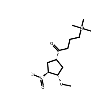 CO[C@H]1C[C@@H](C(=O)CCC[N+](C)(C)C)C[C@@H]1[N+](=O)[O-]